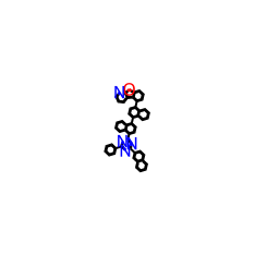 c1ccc(-c2nc(-c3ccc4ccccc4c3)nc(-c3ccc(-c4ccc(-c5cccc6oc7ncccc7c56)c5ccccc45)c4ccccc34)n2)cc1